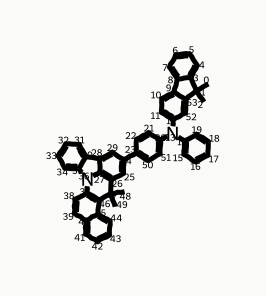 CC1(C)c2ccccc2-c2ccc(N(c3ccccc3)c3ccc(-c4cc5c6c(c4)c4ccccc4n6-c4ccc6ccccc6c4C5(C)C)cc3)cc21